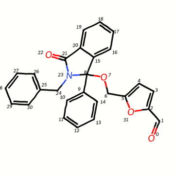 O=Cc1ccc(COC2(c3ccccc3)c3ccccc3C(=O)N2Cc2ccccc2)o1